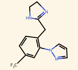 FC(F)(F)c1ccc(CC2=NCCN2)c(-n2cccn2)c1